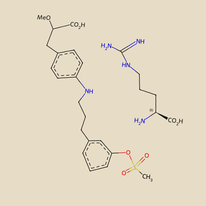 COC(Cc1ccc(NCCCc2cccc(OS(C)(=O)=O)c2)cc1)C(=O)O.N=C(N)NCCC[C@H](N)C(=O)O